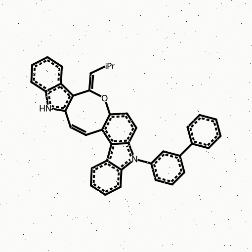 CC(C)/C=C1\Oc2ccc3c(c2/C=C\c2[nH]c4ccccc4c21)c1ccccc1n3-c1cccc(-c2ccccc2)c1